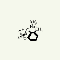 Cc1ccccc1C.[Na+].[Na+].[Na+].[O-]P([O-])(=S)[S-]